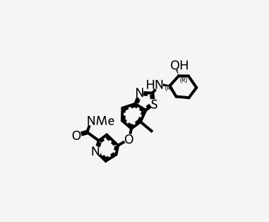 CNC(=O)c1cc(Oc2ccc3nc(N[C@@H]4CCCC[C@H]4O)sc3c2C)ccn1